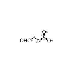 O=CCN=S(=O)=O